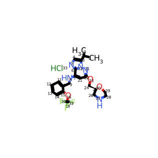 CC(C)c1cnc2c(NCc3ccccc3OC(F)(F)F)cc(OC[C@@H]3CNCCO3)nn12.Cl